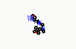 C1=CC2c3cc4c(-c5cccc(C6=NC7C=C(C8=CCN[C@@H]9C%10=C(C=CCN%10)C=CC89)[C@H]7C=N6)c5)nc5ccccc5c4cc3C(c3ccccc3)(c3ccccc3)C2C=C1